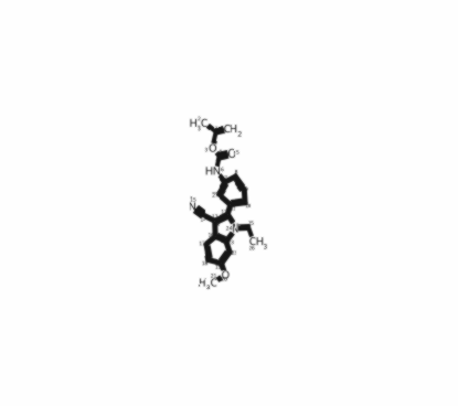 C=C(C)OC(=O)Nc1cccc(-c2c(C#N)c3ccc(OC)cc3n2CC)c1